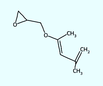 C=C(C)/C=C(\C)OCC1CO1